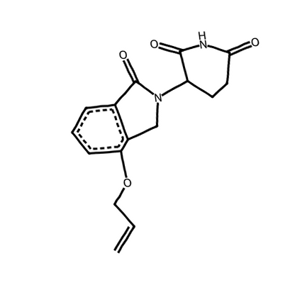 C=CCOc1cccc2c1CN(C1CCC(=O)NC1=O)C2=O